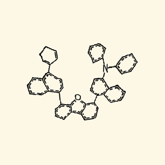 C1=CC(c2ccc(-c3cccc4c3oc3c(-c5ccc(N(c6ccccc6)c6ccccc6)c6ccccc56)cccc34)c3ccccc23)=CCC1